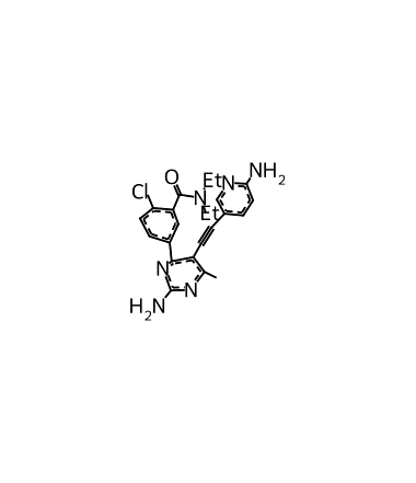 CCN(CC)C(=O)c1cc(-c2nc(N)nc(C)c2C#Cc2ccc(N)nc2)ccc1Cl